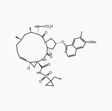 COc1cc2ccnc(O[C@@H]3C[C@H]4C(=O)N[C@]5(C(=O)NS(=O)(=O)C6(CF)CC6)C[C@H]5/C=C\CC[C@@H](C)C[C@@H](C)[C@H](NC(=O)O)C(=O)N4C3)c2cc1F